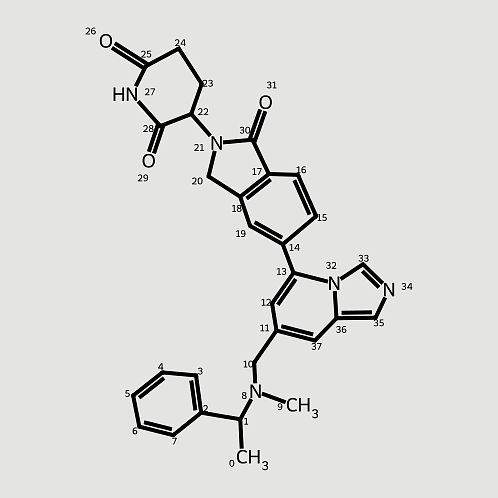 CC(c1ccccc1)N(C)Cc1cc(-c2ccc3c(c2)CN(C2CCC(=O)NC2=O)C3=O)n2cncc2c1